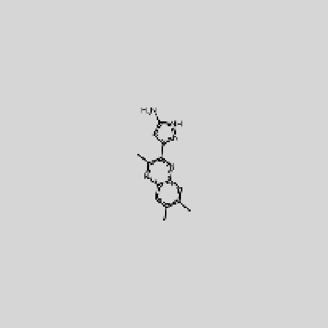 Cc1cc2nc(C)c(-c3cc(N)[nH]n3)nc2cc1C